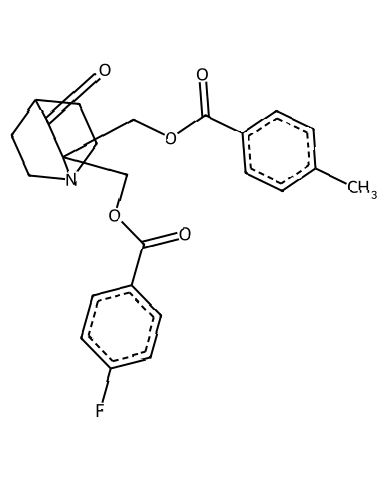 Cc1ccc(C(=O)OCC2(COC(=O)c3ccc(F)cc3)C(=O)C3CCN2CC3)cc1